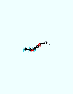 CCCCCC1COC(c2ccc(-c3cc(F)c(C(F)(F)Oc4cc(F)c(CCc5cc(F)c(F)c(F)c5)c(F)c4)c(F)c3)cc2)OC1